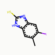 Cc1cc2[nH]c(S)nc2cc1I